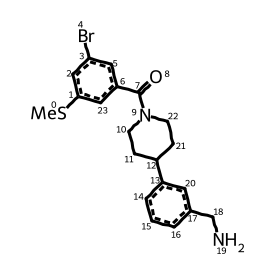 CSc1cc(Br)cc(C(=O)N2CCC(c3cccc(CN)c3)CC2)c1